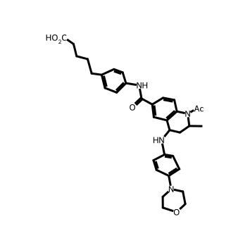 CC(=O)N1c2ccc(C(=O)Nc3ccc(CCCCC(=O)O)cc3)cc2C(Nc2ccc(N3CCOCC3)cc2)CC1C